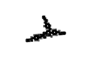 CC(CC(Cc1ccc(CN=C=O)cc1)Cc1ccc(CN=C=O)cc1)OC(=O)NCc1ccc(CN=C=O)cc1